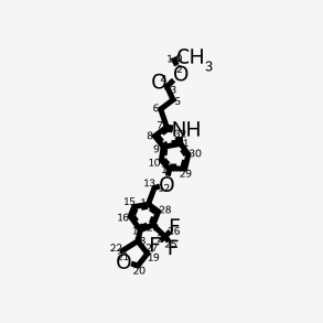 CCOC(=O)CCc1cc2cc(OCc3ccc(C4CCOC4)c(C(F)(F)F)c3)ccc2[nH]1